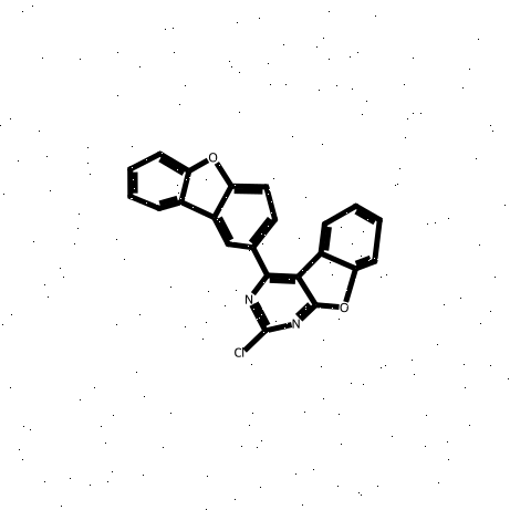 Clc1nc(-c2ccc3oc4ccccc4c3c2)c2c(n1)oc1ccccc12